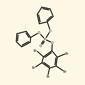 O=P(Oc1ccccc1)(Oc1ccccc1)Oc1c(Br)c(Br)c(Br)c(Br)c1Br